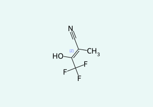 C/C(C#N)=C(/O)C(F)(F)F